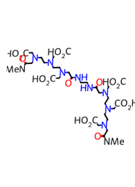 CNC(=O)CN(CCN(CCN(CC(=O)O)CC(=O)NCCNC(=O)CN(CCN(CCN(CC(=O)O)CC(=O)NC)CC(=O)O)CC(=O)O)CC(=O)O)CC(=O)O